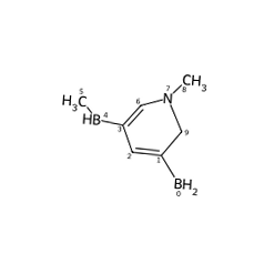 BC1=CC(BC)=CN(C)C1